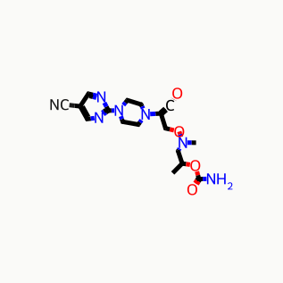 CC(CN(C)OCC(=C=O)N1CCN(c2ncc(C#N)cn2)CC1)OC(N)=O